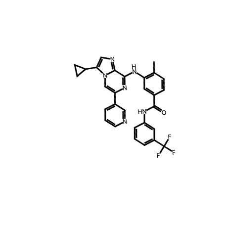 Cc1ccc(C(=O)Nc2cccc(C(F)(F)F)c2)cc1Nc1nc(-c2cccnc2)cn2c(C3CC3)cnc12